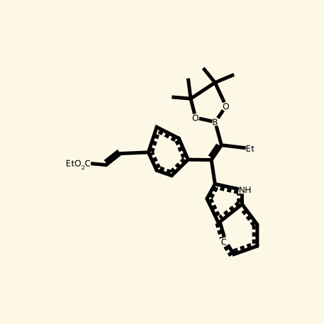 CCOC(=O)/C=C/c1ccc(/C(=C(/CC)B2OC(C)(C)C(C)(C)O2)c2cc3ccccc3[nH]2)cc1